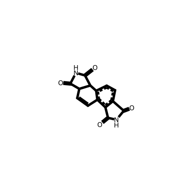 O=C1NC(=O)c2c1ccc1c2C=CC2C(=O)NC(=O)C12